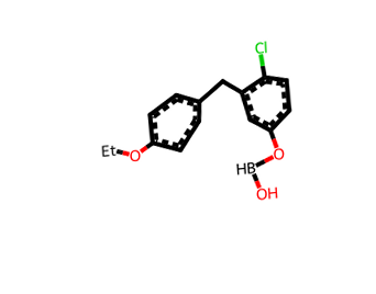 CCOc1ccc(Cc2cc(OBO)ccc2Cl)cc1